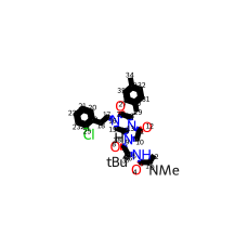 CNC(C)C(=O)NC(C(=O)N1CC(=O)N2[C@@H]1CN(CCc1ccccc1Cl)C(=O)[C@@H]2Cc1ccc(C)cc1)C(C)(C)C